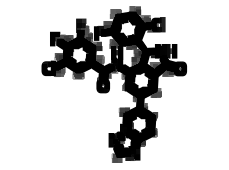 O=C(Nc1cc(-c2ccc3ncnn3c2)cc2c1[C@@H](c1cc(F)ccc1Cl)NC2=O)c1cc(F)c(F)c(Cl)c1